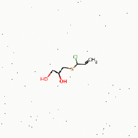 C=CC(Cl)SCC(O)CO